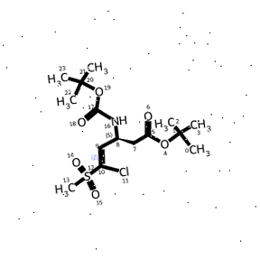 CC(C)(C)OC(=O)C[C@@H](/C=C(\Cl)S(C)(=O)=O)NC(=O)OC(C)(C)C